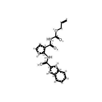 C=CCOC(=O)NC(=O)c1ccsc1NC(=O)c1nc2ccccc2s1